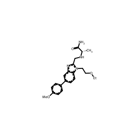 CCOCCn1c(CN[C@@H](C)C(N)=O)nc2cc(-c3ccc(OC)cc3)ccc21